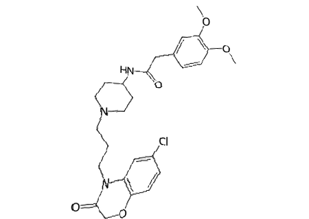 COc1ccc(CC(=O)NC2CCN(CCCN3C(=O)COc4ccc(Cl)cc43)CC2)cc1OC